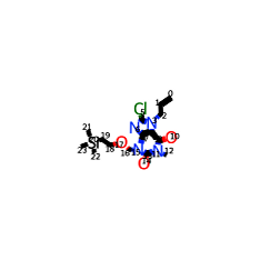 C=CCn1c(Cl)nc2c1c(=O)n(C)c(=O)n2COCC[Si](C)(C)C